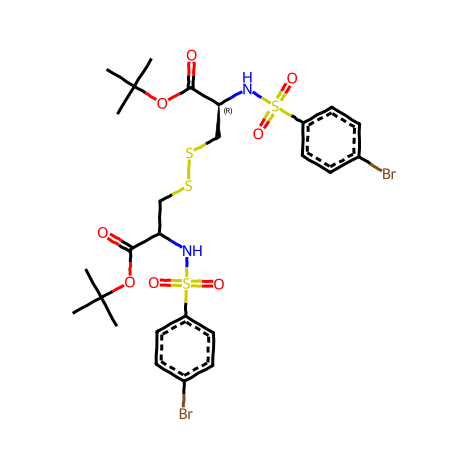 CC(C)(C)OC(=O)C(CSSC[C@H](NS(=O)(=O)c1ccc(Br)cc1)C(=O)OC(C)(C)C)NS(=O)(=O)c1ccc(Br)cc1